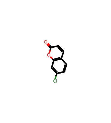 O=c1ccc2c[c]c(Cl)cc2o1